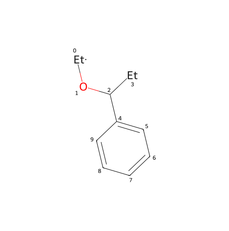 C[CH]OC(CC)c1ccccc1